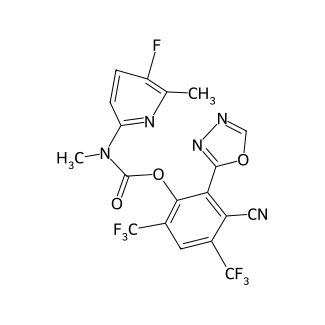 Cc1nc(N(C)C(=O)Oc2c(C(F)(F)F)cc(C(F)(F)F)c(C#N)c2-c2nnco2)ccc1F